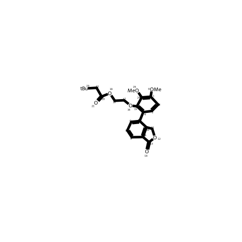 COc1ccc(-c2cccc3c2COC3=O)c(OCCOC(=O)CC(C)(C)C)c1OC